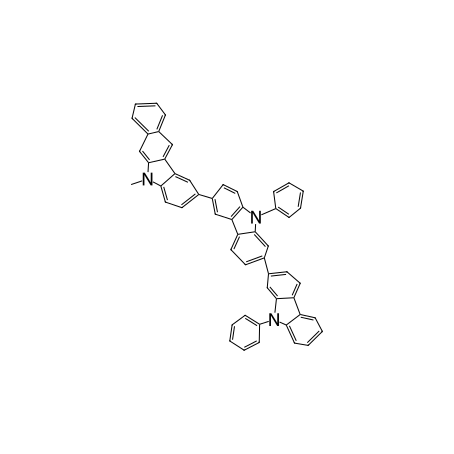 Cn1c2ccc(-c3ccc4c(c3)c3ccc(-c5ccc6c7ccccc7n(-c7ccccc7)c6c5)cc3n4-c3ccccc3)cc2c2cc3ccccc3cc21